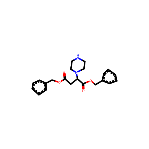 O=C(CC(C(=O)OCc1ccccc1)N1CCNCC1)OCc1ccccc1